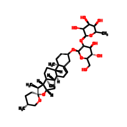 CC1O[C@@H](OC2[C@H](OC3CC[C@@]4(C)C(=CC[C@H]5[C@@H]6C[C@@H]7O[C@]8(CC[C@@H](C)CO8)[C@@H](C)[C@@H]7[C@@]6(C)CC[C@@H]54)C3)OC(CO)[C@@H](O)[C@@H]2O)C(O)[C@@H](O)[C@H]1O